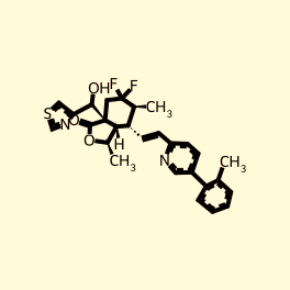 Cc1ccccc1-c1ccc(/C=C/[C@@H]2[C@@H]3[C@@H](C)OC(=O)[C@]3(C(O)c3cscn3)CC(F)(F)[C@H]2C)nc1